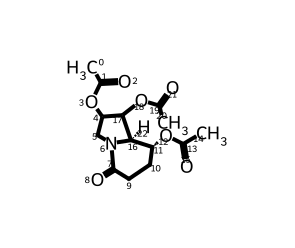 CC(=O)OC1CN2C(=O)CC[C@@H](OC(C)=O)[C@@H]2C1OC(C)=O